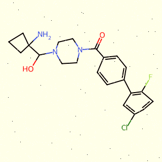 NC1(C(O)N2CCN(C(=O)c3ccc(-c4cc(Cl)ccc4F)cc3)CC2)CCC1